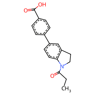 CCC(=O)N1CCc2cc(-c3ccc(C(=O)O)cc3)ccc21